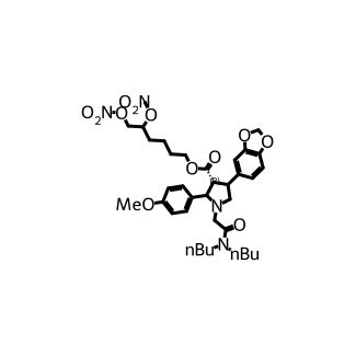 CCCCN(CCCC)C(=O)CN1CC(c2ccc3c(c2)OCO3)[C@@H](C(=O)OCCCCC(CO[N+](=O)[O-])O[N+](=O)[O-])C1c1ccc(OC)cc1